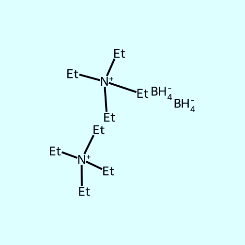 CC[N+](CC)(CC)CC.CC[N+](CC)(CC)CC.[BH4-].[BH4-]